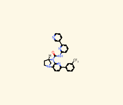 O=C(Nc1cccc(-c2cccnc2)n1)N1c2nc(-c3cccc(C(F)(F)F)c3)ccc2N2CC[C@H]1C2